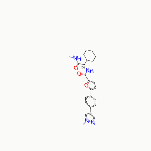 CNC(=O)[C@@H](NC(=O)c1ccc(-c2ccc(-c3cnn(C)c3)cc2)o1)C1CCCCC1